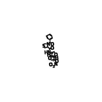 O=C(N[C@H]1CO[C@H]2[C@@H]1OC[C@@H]2O[N+](=O)[O-])C1CSCN1C(=O)c1ccccc1